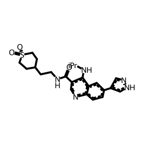 CC(C)Nc1c(C(=O)NCCC2CCS(=O)(=O)CC2)cnc2ccc(-c3cn[nH]c3)cc12